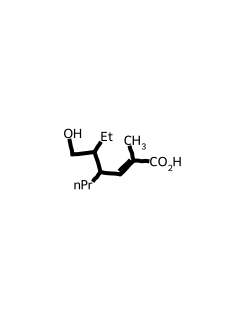 CCCC(C=C(C)C(=O)O)C(CC)CO